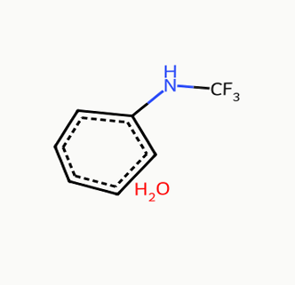 FC(F)(F)Nc1ccccc1.O